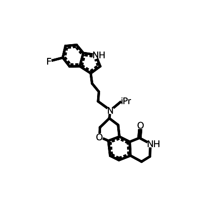 CC(C)N(CCCc1c[nH]c2ccc(F)cc12)C1COc2ccc3c(c2C1)C(=O)NCC3